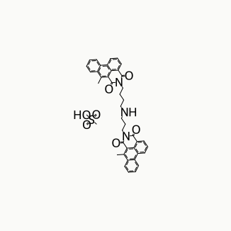 CS(=O)(=O)O.Cc1c2c3c(cccc3c3ccccc13)C(=O)N(CCCCNCCCN1C(=O)c3cccc4c3c(c(C)c3ccccc34)C1=O)C2=O